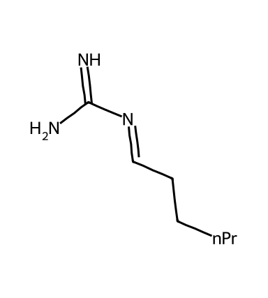 CCCCCC=NC(=N)N